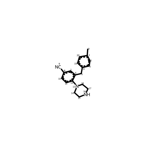 Cc1ccc(Cc2cc(C#N)ccc2N2CCNCC2)cc1